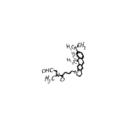 CN(CC=O)C(=O)CCC[N+]1=c2cc3c(cc2CCC1)=Cc1ccc(N(C)C)cc1C3(C)C